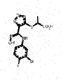 CC(Sc1nonc1/C(=N/O)Nc1ccc(F)c(Br)c1)C(=O)O